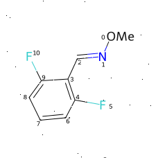 CO/N=C/c1c(F)[c]ccc1F